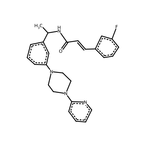 CC(NC(=O)C=Cc1cccc(F)c1)c1cccc(N2CCN(c3ccccn3)CC2)c1